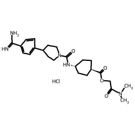 CN(C)C(=O)COC(=O)[C@H]1CC[C@H](NC(=O)N2CCC(c3ccc(C(=N)N)cc3)CC2)CC1.Cl